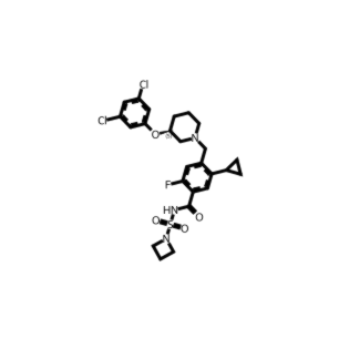 O=C(NS(=O)(=O)N1CCC1)c1cc(C2CC2)c(CN2CCC[C@H](Oc3cc(Cl)cc(Cl)c3)C2)cc1F